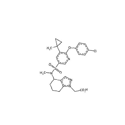 CN(C1CCCc2c1cnn2CC(=O)O)S(=O)(=O)c1cnc(Oc2ccc(Cl)cc2)c(C2(C)CC2)c1